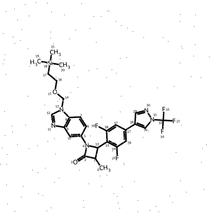 CC1C(=O)N(c2ccc3c(c2)ncn3COCC[Si](C)(C)C)C1c1c(F)cc(-c2cnn(C(F)(F)F)c2)cc1F